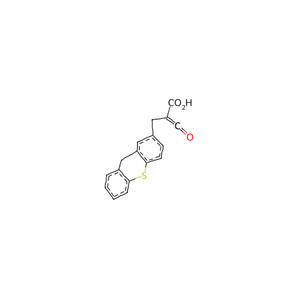 O=C=C(Cc1ccc2c(c1)Cc1ccccc1S2)C(=O)O